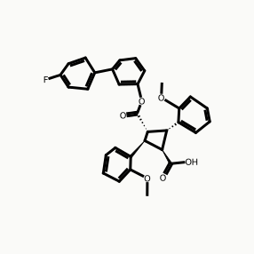 COc1ccccc1[C@@H]1[C@H](C(=O)O)[C@@H](c2ccccc2OC)[C@H]1C(=O)Oc1cccc(-c2ccc(F)cc2)c1